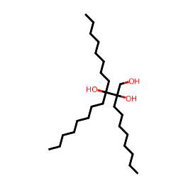 CCCCCCCCC(O)(CO)C(O)(CCCCCCCC)CCCCCCCC